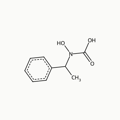 CC(c1ccccc1)N(O)C(=O)O